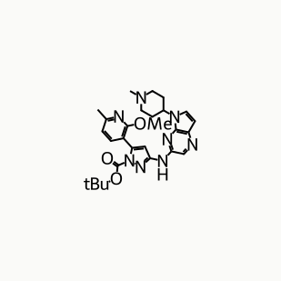 COc1nc(C)ccc1-c1cc(Nc2cnc3ccn(C4CCN(C)CC4)c3n2)nn1C(=O)OC(C)(C)C